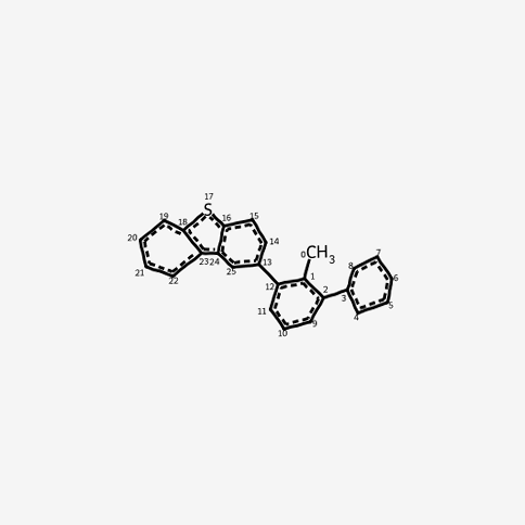 Cc1c(-c2ccccc2)cccc1-c1ccc2sc3ccccc3c2c1